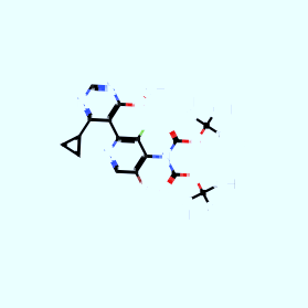 COc1ncnc(C2CC2)c1-c1ncc(Br)c(N(C(=O)OC(C)(C)C)C(=O)OC(C)(C)C)c1F